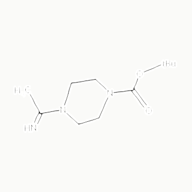 CC(=N)N1CCN(C(=O)OC(C)(C)C)CC1